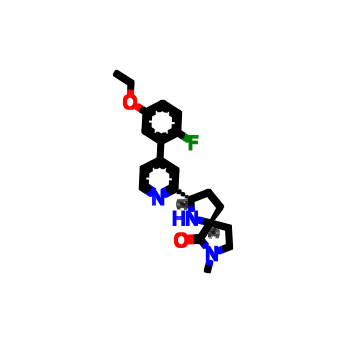 CCOc1ccc(F)c(-c2ccnc([C@@H]3CC[C@]4(CCN(C)C4=O)N3)c2)c1